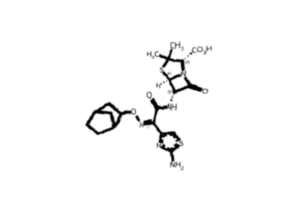 CC1(C)S[C@@H]2[C@@H](NC(=O)/C(=N\OC3CC4CCC3C4)c3csc(N)n3)C(=O)N2[C@H]1C(=O)O